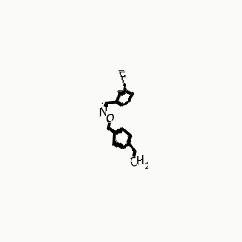 C=Cc1ccc(CO/N=[C]\c2cccc(F)c2)cc1